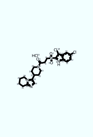 Cl.O=C(CCS(=O)(=O)c1[nH]c2ccc(Cl)cc2c1Cl)N1CCC(c2cnc3n2CCCC3)CC1